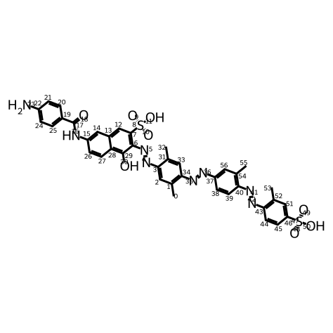 Cc1cc(N=Nc2c(S(=O)(=O)O)cc3cc(NC(=O)c4ccc(N)cc4)ccc3c2O)c(C)cc1N=Nc1ccc(N=Nc2ccc(S(=O)(=O)O)cc2C)c(C)c1